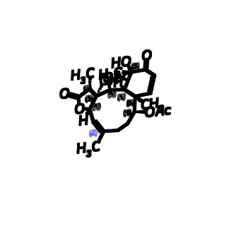 CC(=O)O[C@H]1CC/C(C)=C\[C@@H]2OC(=O)[C@H](C)[C@@]2(O)[C@@H](OC(C)=O)[C@@H]2[C@]1(C)C=CC(=O)[C@@]2(C)O